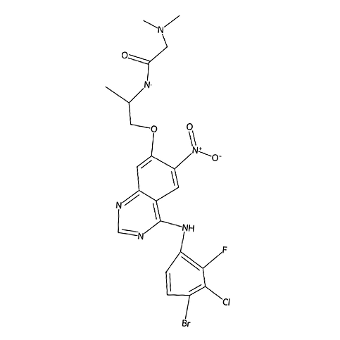 CC(COc1cc2ncnc(Nc3ccc(Br)c(Cl)c3F)c2cc1[N+](=O)[O-])[N]C(=O)CN(C)C